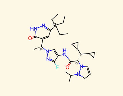 CC[Si](CC)(CC)c1cc([C@@H](C)n2cc(NC(=O)[C@H](C(C3CC3)C3CC3)N3C=CCN3C(C)C)c(F)n2)c(=O)[nH]n1